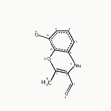 CC1=C(C=O)Nc2cccc(Cl)c2O1